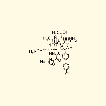 C[C@H](NC(=O)[C@@H](NC(=O)[C@H](CN)NC(=O)c1ccc(-c2ccc(Cl)cc2)cc1)[C@@H](C)O)C(=O)N[C@@H](CCCCN)C(=O)N[C@@H](C)C(=O)c1nc(C#N)co1